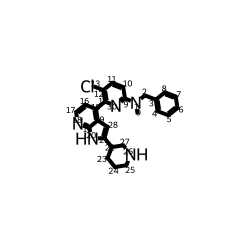 CN(Cc1ccccc1)c1ccc(Cl)c(-c2ccnc3[nH]c(C4CCCNC4)cc23)n1